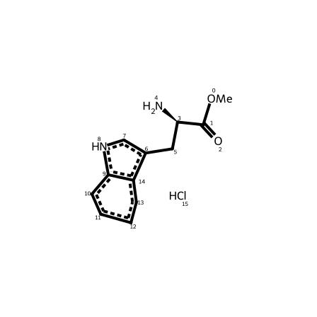 COC(=O)[C@H](N)Cc1c[nH]c2ccccc12.Cl